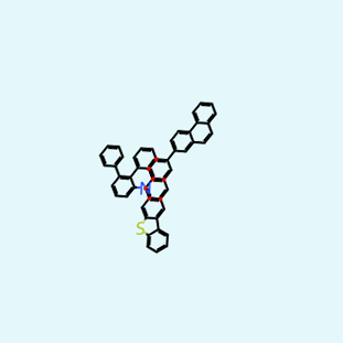 c1ccc(-c2ccccc2-c2c(-c3ccccc3)cccc2N(c2ccc(-c3ccc4c(ccc5ccccc54)c3)cc2)c2ccc3c(c2)sc2ccccc23)cc1